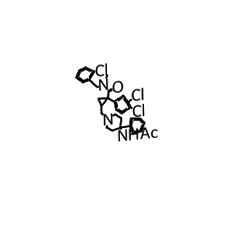 CC(=O)NC1(c2ccccc2)CCN(CC2CC2(C(=O)N(C)Cc2ccccc2Cl)c2ccc(Cl)c(Cl)c2)CC1